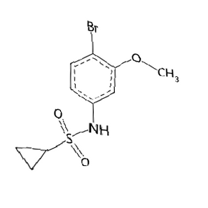 COc1cc(NS(=O)(=O)C2CC2)ccc1Br